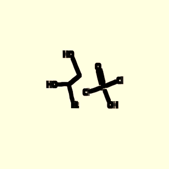 CCC(O)CO.O=P(O)(Cl)Cl